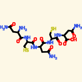 NC(=O)CC(N)C(=O)NC(CS)C(=O)NC(CC(N)=O)C(=O)NC(CS)C(=O)NC(CC(N)=O)C(=O)O